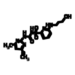 COc1cc(C)nc(NC(=O)NS(=O)(=O)c2cccc(NCCCO)n2)n1